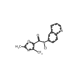 Cc1nc(C(F)(F)F)c(C(=O)N(Cl)c2ccc3ncccc3c2)o1